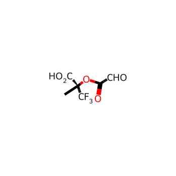 C[C@@](OC(=O)C=O)(C(=O)O)C(F)(F)F